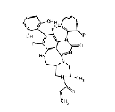 C=CC(=O)N1CC2CNc3c(F)c(-c4c(O)cccc4O)c(F)c4c3c(nc(=O)n4-c3c(C)ccnc3C(C)C)N2CC1C